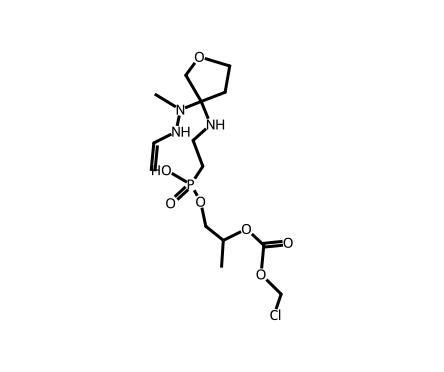 C=CNN(C)C1(NCCP(=O)(O)OCC(C)OC(=O)OCCl)CCOC1